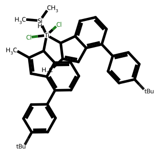 CC1=Cc2c(-c3ccc(C(C)(C)C)cc3)cccc2[CH]1[Ti]([Cl])([Cl])([CH]1C(C)=Cc2c(-c3ccc(C(C)(C)C)cc3)cccc21)[SiH](C)C